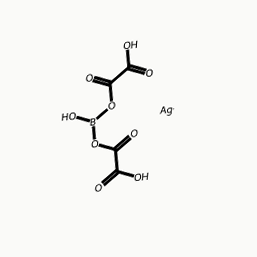 O=C(O)C(=O)OB(O)OC(=O)C(=O)O.[Ag]